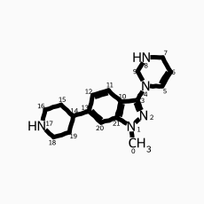 Cn1nc(N2C=CCNC2)c2ccc(C3CCNCC3)cc21